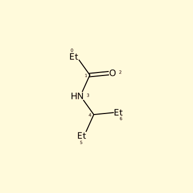 CCC(=O)NC(CC)CC